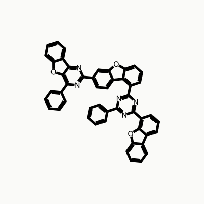 c1ccc(-c2nc(-c3cccc4c3oc3ccccc34)nc(-c3cccc4oc5cc(-c6nc(-c7ccccc7)c7oc8ccccc8c7n6)ccc5c34)n2)cc1